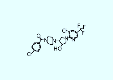 O=C(c1ccc(Cl)cc1)N1CCN(C2CN(c3ncc(C(F)(F)F)cc3Cl)CC2O)CC1